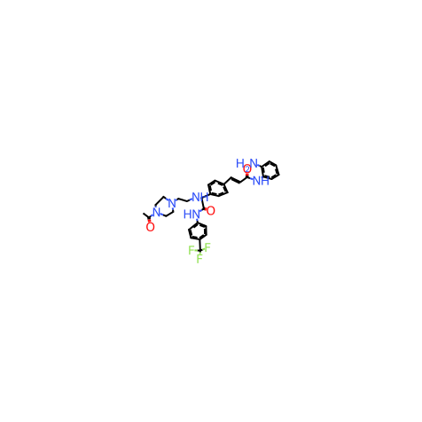 CC(=O)N1CCN(CCNC(C(=O)Nc2ccc(C(F)(F)F)cc2)c2ccc(C=CC(=O)Nc3ccccc3N)cc2)CC1